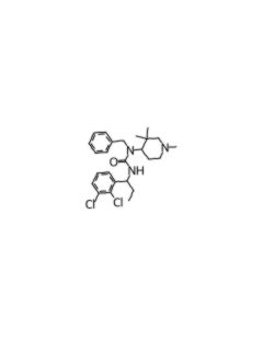 CCC(NC(=O)N(Cc1ccccc1)C1CCN(C)CC1(C)C)c1cccc(Cl)c1Cl